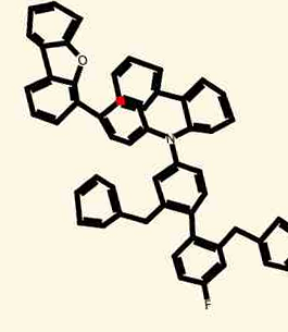 Fc1ccc(-c2ccc(N(c3ccc(-c4cccc5c4oc4ccccc45)cc3)c3ccccc3-c3ccccc3)cc2Cc2ccccc2)c(Cc2ccccc2)c1